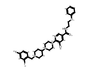 O=C(NCCOc1ccccc1)c1cnc(N2CCN(C3CCN(Cc4ccc(F)cc4F)CC3)CC2)c(Cl)c1